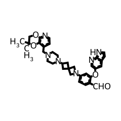 CC1(C)COc2nccc(CN3CCN(C4CC5(C4)CN(c4ccc(C=O)c(Oc6cnc7[nH]ccc7c6)c4)C5)CC3)c2O1